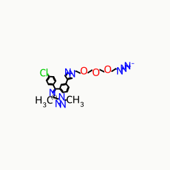 Cc1nnc2n1-c1ccc(-c3cnn(CCOCCOCCOCCN=[N+]=[N-])c3)cc1C(c1ccc(Cl)cc1)=N[C@H]2C